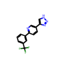 FC(F)(F)c1cccc(-c2ccc(-c3c[nH]nn3)cn2)c1